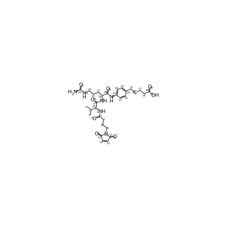 CC(C)[C@H](NC(=O)CCCN1C(=O)C=CC1=O)C(=O)NC(CCCNC(N)=O)C(=O)Nc1ccc(CSCCC(=O)O)cc1